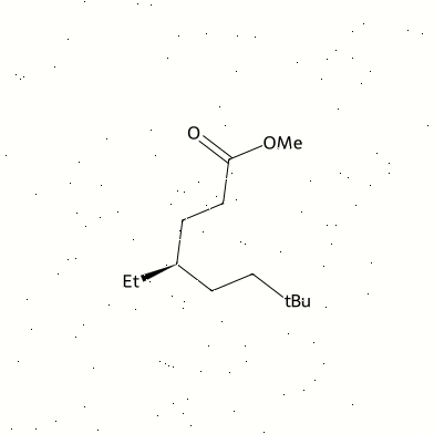 CC[C@@H](CCC(=O)OC)CCC(C)(C)C